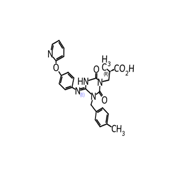 Cc1ccc(Cn2c(=O)n(C[C@@H](C)C(=O)O)c(=O)[nH]/c2=N\c2ccc(Oc3ccccn3)cc2)cc1